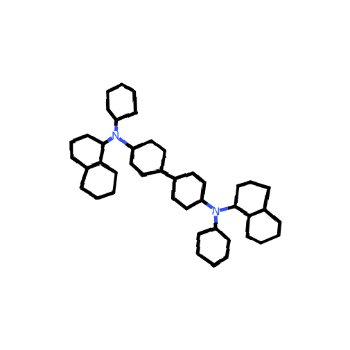 C1CCC(N(C2CCC(C3CCC(N(C4CCCCC4)C4CCCC5CCCCC54)CC3)CC2)C2CCCC3CCCCC32)CC1